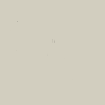 O=C(NC1CCc2scc(Cl)c2C1)OCc1ccccc1